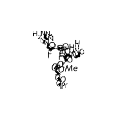 COP(=O)(OC[C@H]1O[C@@H](n2ccc(=O)[nH]c2=O)[C@H](OP(=O)(O)OC[C@H]2O[C@@H](n3cnc4c(N)ncnc43)C[C@@H]2F)[C@@H]1F)SCOC(=O)OC(C)C